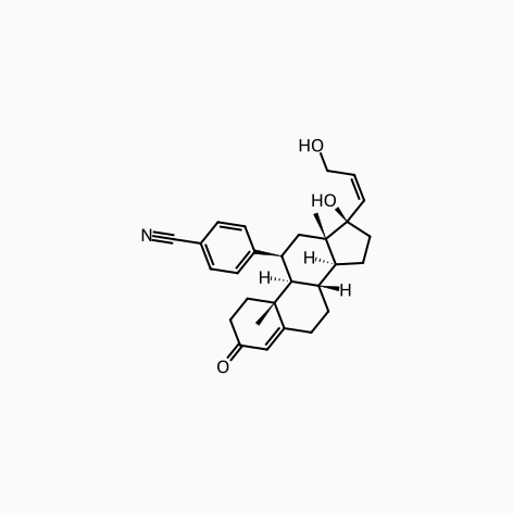 C[C@]12CCC(=O)C=C1CC[C@@H]1[C@@H]2[C@@H](c2ccc(C#N)cc2)C[C@@]2(C)[C@H]1CC[C@@]2(O)/C=C\CO